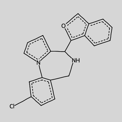 Clc1ccc2c(c1)-n1cccc1C(c1occ3ccccc13)NC2